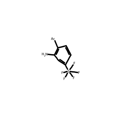 CC(=O)c1ccc(S(F)(F)(F)(F)F)cc1N